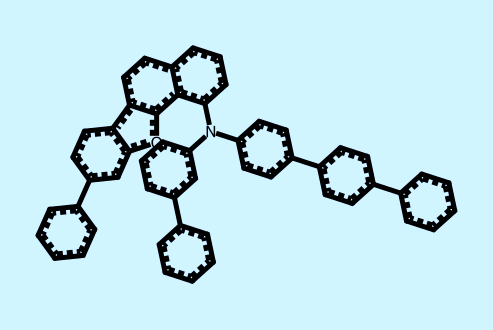 c1ccc(-c2ccc(-c3ccc(N(c4cccc(-c5ccccc5)c4)c4cccc5ccc6c7ccc(-c8ccccc8)cc7oc6c45)cc3)cc2)cc1